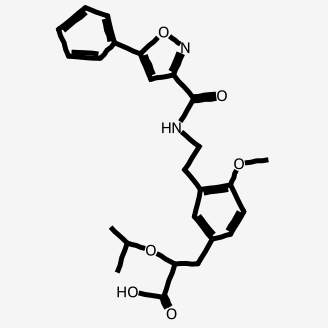 COc1ccc(CC(OC(C)C)C(=O)O)cc1CCNC(=O)c1cc(-c2ccccc2)on1